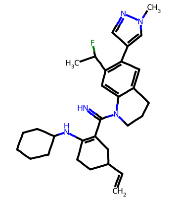 C=CC1CCC(NC2CCCCC2)=C(C(=N)N2CCCc3cc(-c4cnn(C)c4)c(C(C)F)cc32)C1